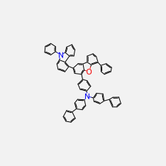 c1ccc(-c2ccc(N(c3ccc(-c4ccccc4)cc3)c3ccc(-c4cc(-c5cccc6c5c5ccccc5n6-c5ccccc5)cc5c4oc4c(-c6ccccc6)cccc45)cc3)cc2)cc1